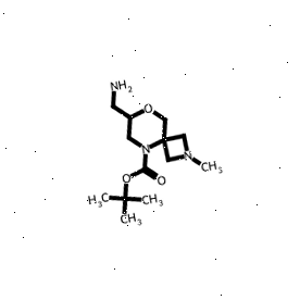 CN1CC2(COC(CN)CN2C(=O)OC(C)(C)C)C1